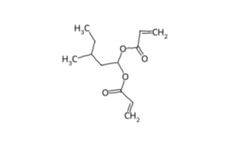 C=CC(=O)OC(CC(C)CC)OC(=O)C=C